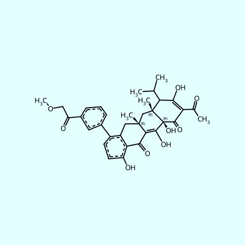 COCC(=O)c1cccc(-c2ccc(O)c3c2C[C@]2(C)C[C@]4(C)C(C(C)C)C(O)=C(C(C)=O)C(=O)[C@]4(O)C(O)=C2C3=O)c1